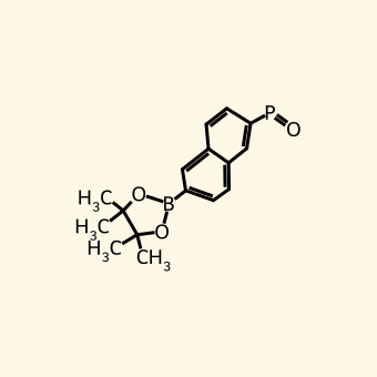 CC1(C)OB(c2ccc3cc(P=O)ccc3c2)OC1(C)C